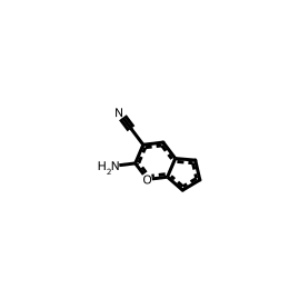 N#Cc1cc2cccc-2oc1N